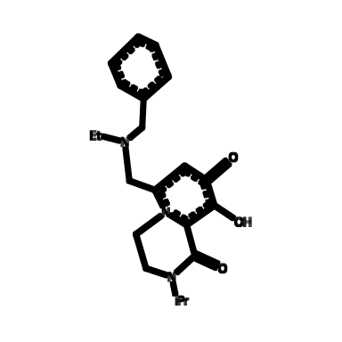 CCN(Cc1ccccc1)Cc1cc(=O)c(O)c2n1CCN(C(C)C)C2=O